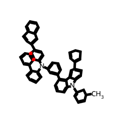 CC1C=CC=C(n2c3ccc(C4=CCCC=C4)cc3c3c(-c4cccc(N(c5ccc(-c6ccc7ccccc7c6)cc5)c5ccccc5-c5ccccc5)c4)cccc32)C1